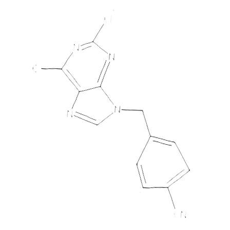 N#Cc1ccc(Cn2cnc3c(Cl)nc(Cl)nc32)cc1